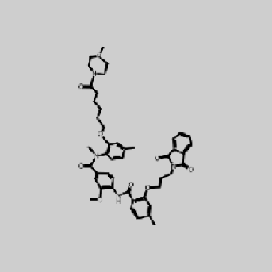 COc1cc(C(=O)N(C)c2ccc(C)cc2OCCCCCC(=O)N2CCN(C)CC2)ccc1NC(=O)c1ccc(C)cc1OCCCN1C(=O)c2ccccc2C1=O